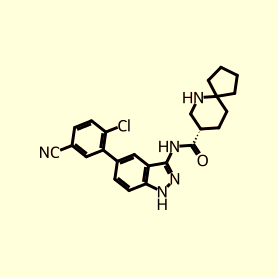 N#Cc1ccc(Cl)c(-c2ccc3[nH]nc(NC(=O)[C@H]4CCC5(CCCC5)NC4)c3c2)c1